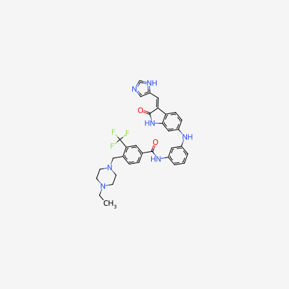 CCN1CCN(Cc2ccc(C(=O)Nc3cccc(Nc4ccc5c(c4)NC(=O)C5=Cc4cnc[nH]4)c3)cc2C(F)(F)F)CC1